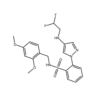 COc1ccc(CNS(=O)(=O)c2ccccc2-n2cc(NCC(F)F)cn2)c(OC)c1